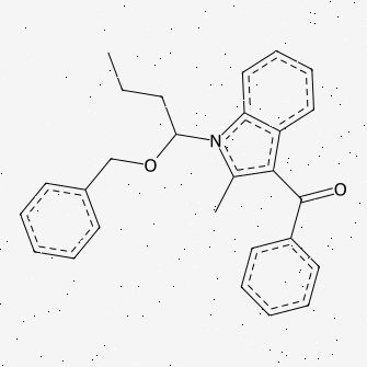 CCCC(OCc1ccccc1)n1c(C)c(C(=O)c2ccccc2)c2ccccc21